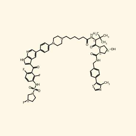 Cc1ncsc1-c1ccc(CNC(=O)[C@@H]2C[C@@H](O)CN2C(=O)[C@@H](NC(=O)CCCCCN2CCN(c3ccc(-c4cnc5[nH]cc(C(=O)c6c(F)ccc(NS(=O)(=O)N7CC[C@@H](F)C7)c6F)c5c4)cc3)CC2)C(C)(C)C)cc1